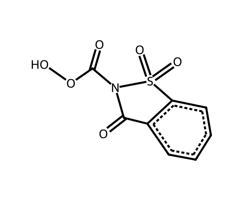 O=C(OO)N1C(=O)c2ccccc2S1(=O)=O